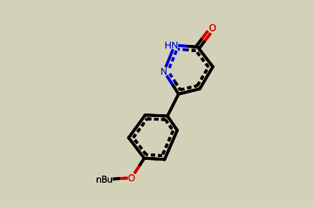 CCCCOc1ccc(-c2ccc(=O)[nH]n2)cc1